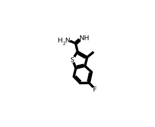 Cc1c(C(=N)N)sc2ccc(F)cc12